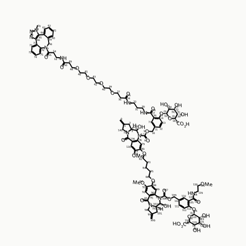 C=C1C[C@H]2C(O)N(C(=O)OCc3ccc(O[C@@H]4O[C@H](C(=O)O)[C@@H](O)[C@H](O)[C@H]4O)c(C(=O)NCCCNC(=O)CCOCCOCCOCCOCCC(=O)NCCC(=O)N4Cc5ccccc5-c5c(nnn5C)-c5ccccc54)c3)c3cc(OCCCCCOc4cc5c(cc4OC)C(=O)N4CC(=C)C[C@H]4C(O)N5C(=O)OCc4ccc(O[C@@H]5O[C@H](C(=O)O)[C@@H](O)[C@H](O)[C@H]5O)c(C(=O)NCCOC)c4)c(OC)cc3C(=O)N2C1